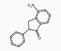 O=C1c2cccc([N+](=O)[O-])c2CN1c1ccccc1